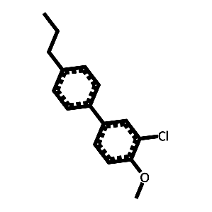 CCCc1ccc(-c2ccc(OC)c(Cl)c2)cc1